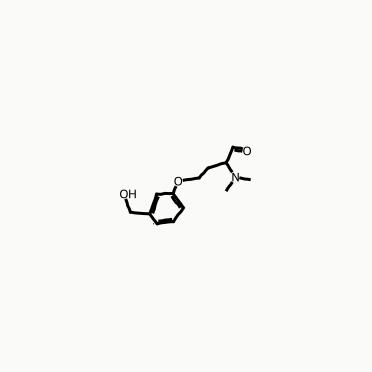 CN(C)C(C=O)CCOc1cc[c]c(CO)c1